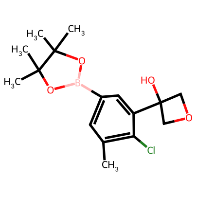 Cc1cc(B2OC(C)(C)C(C)(C)O2)cc(C2(O)COC2)c1Cl